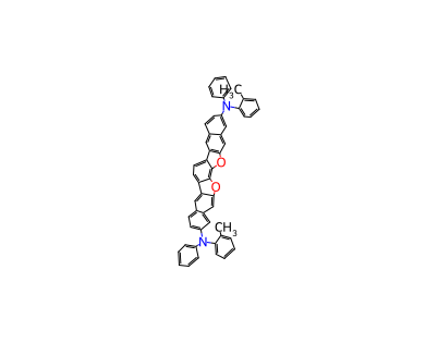 Cc1ccccc1N(c1ccccc1)c1ccc2cc3c(cc2c1)oc1c3ccc2c3cc4ccc(N(c5ccccc5)c5ccccc5C)cc4cc3oc21